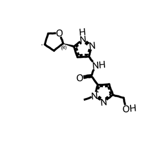 Cn1nc(CO)cc1C(=O)Nc1cc([C@H]2C[CH]CO2)[nH]n1